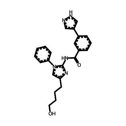 O=C(Nc1nc(CCCCO)cn1-c1ccccc1)c1cccc(-c2cn[nH]c2)c1